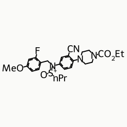 CCC[S+]([O-])N(Cc1ccc(OC)cc1F)c1ccc(N2CCN(C(=O)OCC)CC2)c(C#N)c1